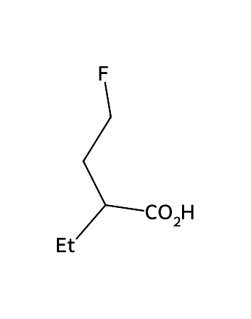 CCC(CCF)C(=O)O